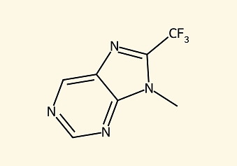 Cn1c(C(F)(F)F)nc2cncnc21